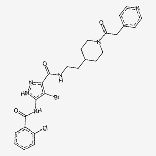 O=C(Nc1[nH]nc(C(=O)NCCC2CCN(C(=O)Cc3ccncc3)CC2)c1Br)c1ccccc1Cl